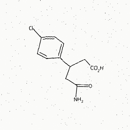 NC(=O)CC(CC(=O)O)c1ccc(Cl)cc1